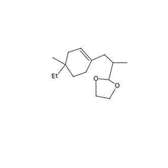 CCC1(C)CC=C(CC(C)C2OCCO2)CC1